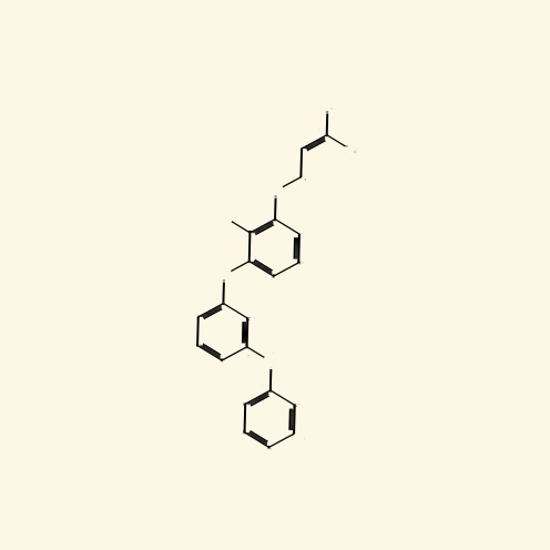 FC(F)(F)c1c(OCC=C(Br)Br)cccc1Oc1cccc(Oc2ccccc2)c1